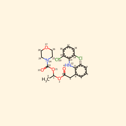 CC(OC(=O)Cc1ccccc1Nc1c(Cl)cccc1Cl)OC(=O)N1CCOCC1